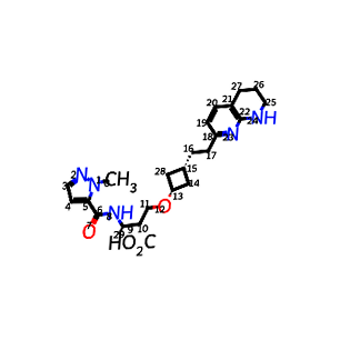 Cn1nccc1C(=O)N[C@@H](CCO[C@H]1C[C@@H](CCc2ccc3c(n2)NCCC3)C1)C(=O)O